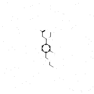 CCO[C@H](C)c1ccc([C@H](CC)CC(=O)O)cc1N